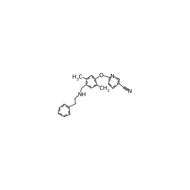 Cc1cc(Oc2ccc(C#N)cn2)c(C)cc1CNCCc1ccccc1